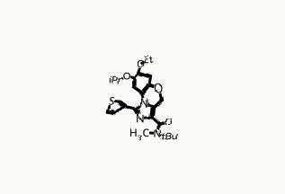 CCOc1cc2c(cc1OC(C)C)-n1c(-c3ccsc3)nc(C(=O)N(C)C(C)(C)C)c1CO2